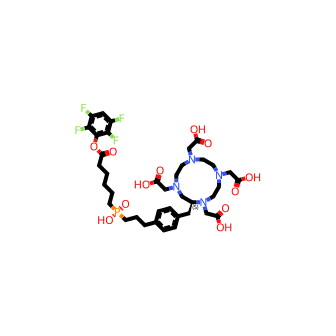 O=C(O)CN1CCN(CC(=O)O)CCN(CC(=O)O)[C@@H](Cc2ccc(CCCP(=O)(O)CCCCCC(=O)Oc3c(F)c(F)cc(F)c3F)cc2)CN(CC(=O)O)CC1